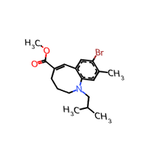 COC(=O)/C1=C/c2cc(Br)c(C)cc2N(CC(C)C)CCC1